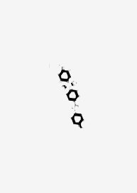 Cc1ccc(N=Nc2ccc(S(=O)(=O)c3ccc(N)cc3)cc2)cc1